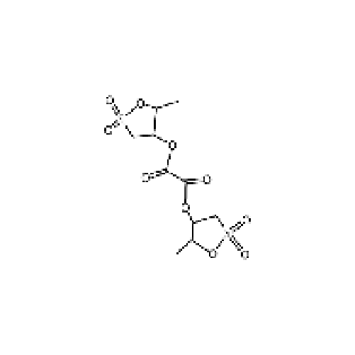 CC1OS(=O)(=O)CC1OC(=O)C(=O)OC1CS(=O)(=O)OC1C